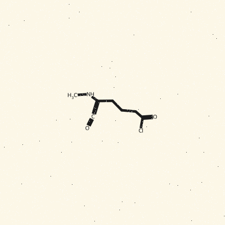 CNC(=C=O)CCCC(=O)Cl